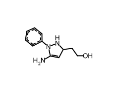 NC1=CC(CCO)NN1c1ccccc1